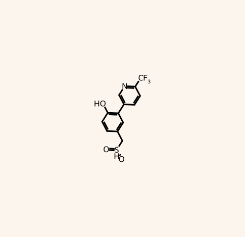 O=[SH](=O)Cc1ccc(O)c(-c2ccc(C(F)(F)F)nc2)c1